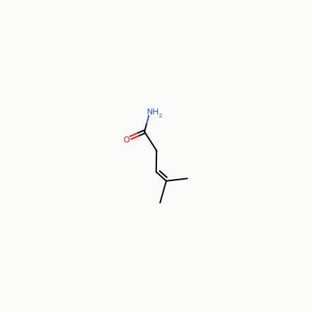 CC(C)=CCC(N)=O